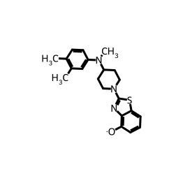 Cc1ccc(N(C)C2CCN(c3nc4c([O])cccc4s3)CC2)cc1C